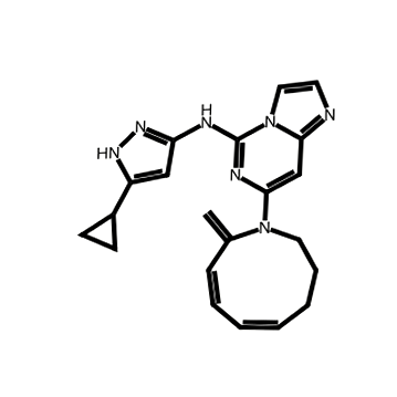 C=C1/C=C\C=C/CCCN1c1cc2nccn2c(Nc2cc(C3CC3)[nH]n2)n1